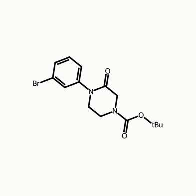 CC(C)(C)OC(=O)N1CCN(c2cccc(Br)c2)C(=O)C1